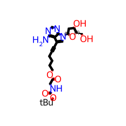 CC(C)(C)OC(=O)NCC(=O)OCCCCC#Cc1cn([C@H]2CC(O)[C@@H](CO)O2)c2ncnc(N)c12